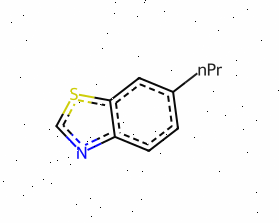 [CH2]CCc1ccc2ncsc2c1